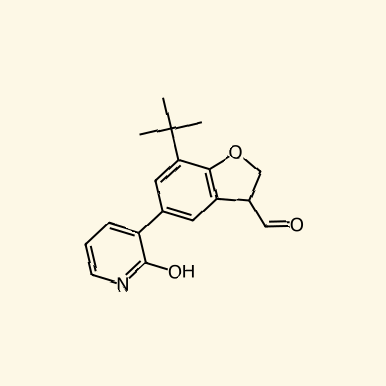 CC(C)(C)c1cc(-c2cccnc2O)cc2c1OCC2C=O